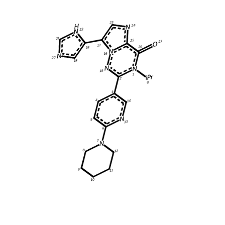 CC(C)n1c(-c2ccc(N3CCCCC3)nc2)nn2c(-c3cnc[nH]3)cnc2c1=O